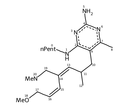 CCCCCNc1nc(N)nc(C)c1CC(C)/C=C(\C=C/COC)CNC